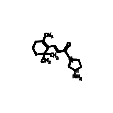 CC1=C(C=CC(=O)N2CC[C@H](N)C2)C(C)(C)CCC1